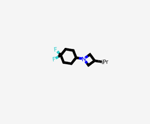 CC(C)C1CN(C2CCC(F)(F)CC2)C1